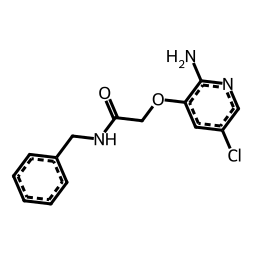 Nc1ncc(Cl)cc1OCC(=O)NCc1ccccc1